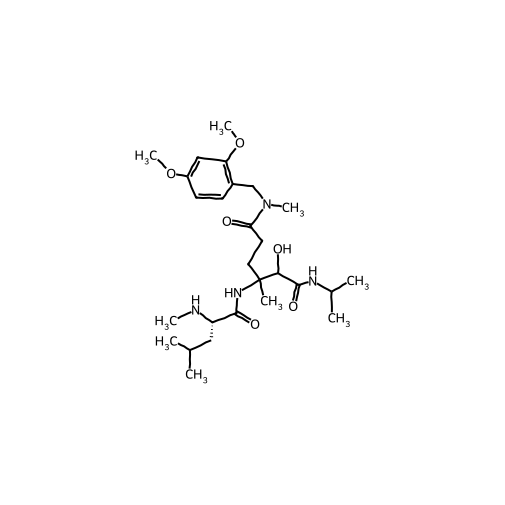 CN[C@@H](CC(C)C)C(=O)NC(C)(CCC(=O)N(C)Cc1ccc(OC)cc1OC)C(O)C(=O)NC(C)C